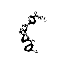 NC(=O)c1ccc(NCc2nnc3ccc(Nc4cccc(Cl)c4)nn23)nc1